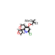 CCC(C)(COc1cc(Cl)nc2c1CCOC21CCOC1)OC